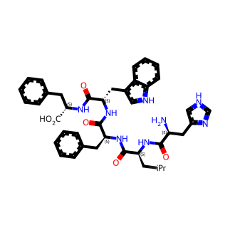 CC(C)C[C@H](NC(=O)[C@@H](N)Cc1c[nH]cn1)C(=O)N[C@@H](Cc1ccccc1)C(=O)N[C@@H](Cc1c[nH]c2ccccc12)C(=O)N[C@@H](Cc1ccccc1)C(=O)O